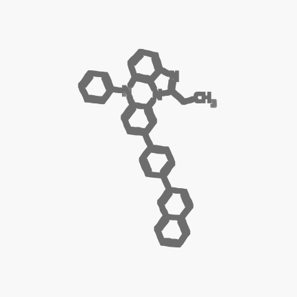 CCc1nc2cccc3c2n1-c1cc(-c2ccc(-c4ccc5ccccc5c4)cc2)ccc1N3c1ccccc1